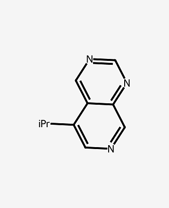 CC(C)c1cncc2ncncc12